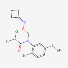 CCCSc1ccc(CC)c(N(CON=C2CCC2)C(=O)C(Cl)CC)c1